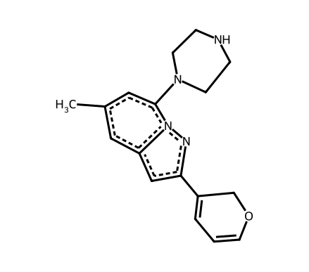 Cc1cc(N2CCNCC2)n2nc(C3=CC=COC3)cc2c1